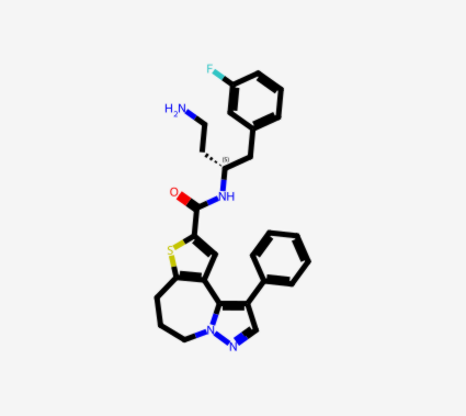 NCC[C@H](Cc1cccc(F)c1)NC(=O)c1cc2c(s1)CCCn1ncc(-c3ccccc3)c1-2